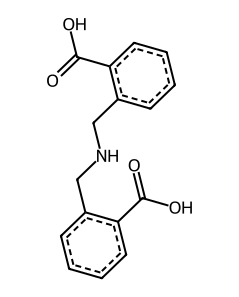 O=C(O)c1ccccc1CNCc1ccccc1C(=O)O